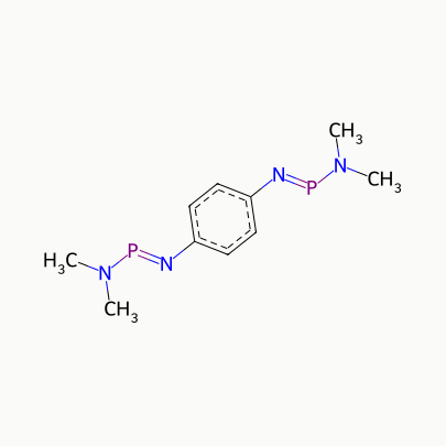 CN(C)/P=N/c1ccc(/N=P/N(C)C)cc1